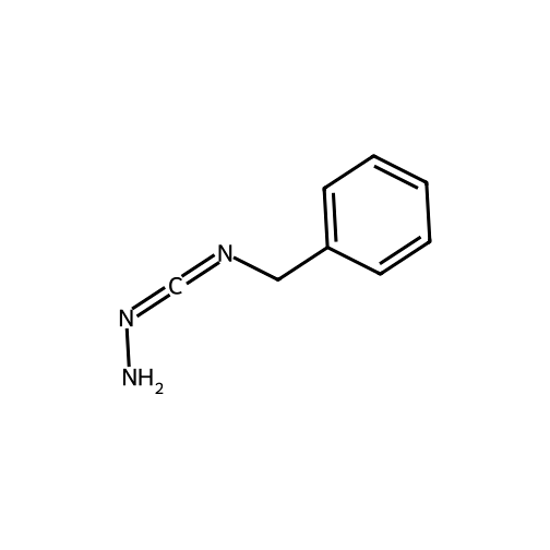 NN=C=NCc1ccccc1